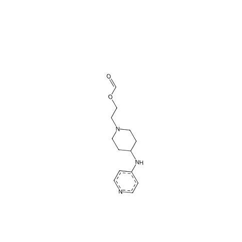 O=COCCN1CCC(Nc2ccncc2)CC1